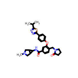 CC(C)c1nnc(-c2ccc(Oc3cc(C(=O)NC4C5CN(C)CC54)ccc3CN3CCCC3=O)cc2)s1